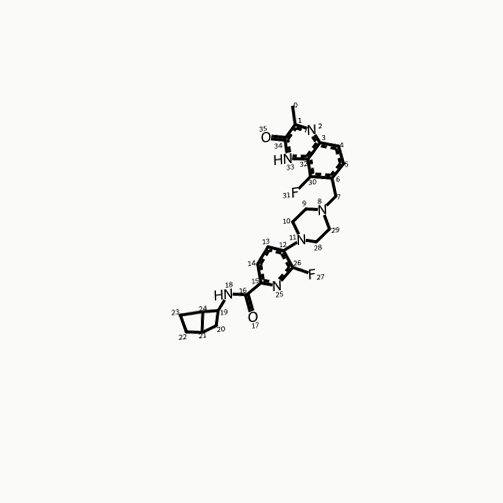 Cc1nc2ccc(CN3CCN(c4ccc(C(=O)NC5CC6CCC65)nc4F)CC3)c(F)c2[nH]c1=O